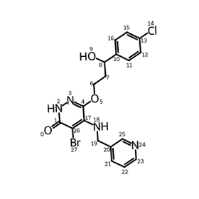 O=c1[nH]nc(OCCC(O)c2ccc(Cl)cc2)c(NCc2cccnc2)c1Br